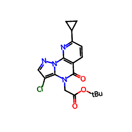 CC(C)(C)OC(=O)Cn1c(=O)c2ccc(C3CC3)nc2n2ncc(Cl)c12